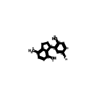 Cc1ccc(O)c2c1CCC2c1cc(F)ccc1O